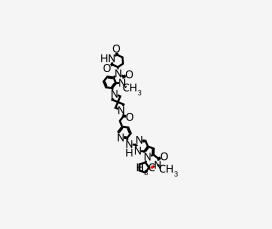 CN(C)C(=O)c1cc2cnc(Nc3ccc(CC(=O)N4CC5(C4)CN(c4cccc6c4n(C)c(=O)n6[C@@H]4CCC(=O)NC4=O)C5)cn3)nc2n1C1CCCC1